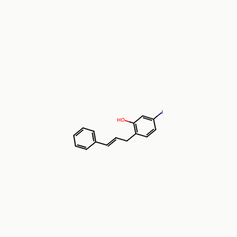 Oc1cc(I)ccc1C/C=C/c1ccccc1